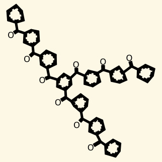 O=C(c1ccccc1)c1cccc(C(=O)c2cccc(C(=O)c3cc(C(=O)c4cccc(C(=O)c5cccc(C(=O)c6ccccc6)c5)c4)cc(C(=O)c4cccc(C(=O)c5cccc(C(=O)c6ccccc6)c5)c4)c3)c2)c1